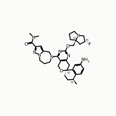 C[C@H]1CC[C@]2(Cc3nc(OC[C@@]45CCCN4C[C@H](F)C5)nc(N4CCCn5nc(C(=O)N(C)C)cc5C4)c3CO2)c2cc(N)ccc21